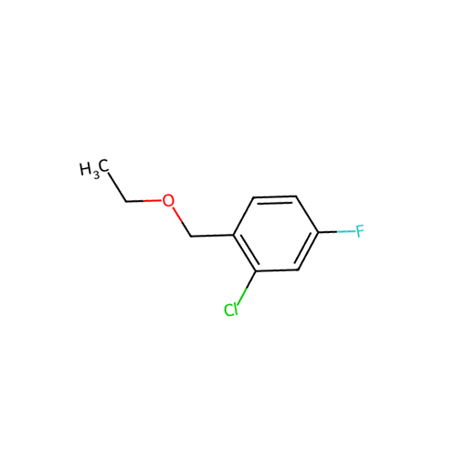 CCOCc1ccc(F)cc1Cl